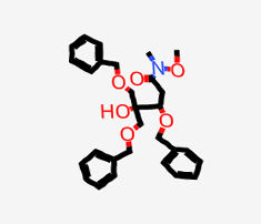 CON(C)C(=O)CC(OCc1ccccc1)C(O)(COCc1ccccc1)COCc1ccccc1